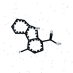 O=C(O)c1ccc(F)c2c1[nH]c1ccccc12